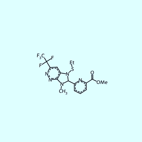 CCSN1c2cc(C(F)(F)C(F)(F)F)nnc2N(C)C1c1cccc(C(=O)OC)n1